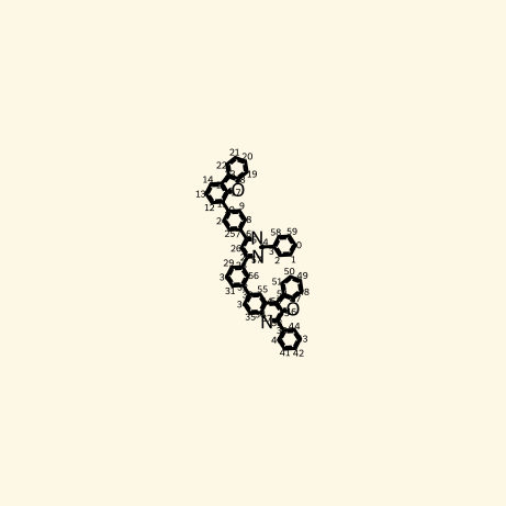 c1ccc(-c2nc(-c3ccc(-c4cccc5c4oc4ccccc45)cc3)cc(-c3cccc(-c4ccc5nc(-c6ccccc6)c6oc7ccccc7c6c5c4)c3)n2)cc1